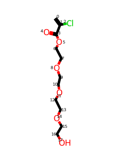 C=C(Cl)C(=O)OCCOCCOCCOCCO